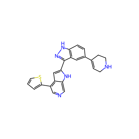 C1=C(c2ccc3[nH]nc(-c4cc5c(-c6cccs6)cncc5[nH]4)c3c2)CCNC1